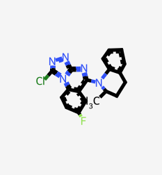 CC1CCc2ccccc2N1c1nc2nnc(Cl)n2c2ccc(F)cc12